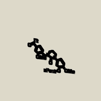 CCCCCOc1cc(N2CCCN(Cc3ccc(C(=O)CC)cc3OC)C2=O)ccc1OC